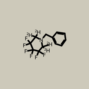 [2H]C1([2H])N(Cc2ccccc2)C([2H])([2H])C(F)(F)C(F)(F)C1(F)F